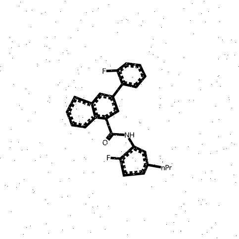 CCCc1ccc(F)c(NC(=O)c2cc(-c3ccccc3F)cc3ccccc23)c1